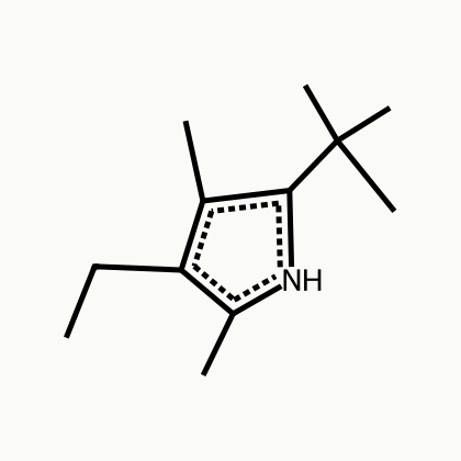 CCc1c(C)[nH]c(C(C)(C)C)c1C